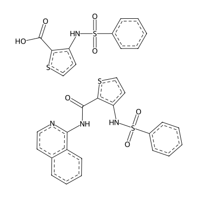 O=C(Nc1nccc2ccccc12)c1sccc1NS(=O)(=O)c1ccccc1.O=C(O)c1sccc1NS(=O)(=O)c1ccccc1